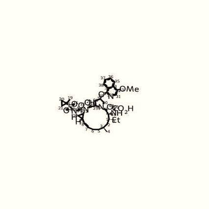 CC[C@@H]1C[C@@H](C)CC/C=C\[C@@H]2C[C@@]2(C(=O)NS(=O)(=O)C2(C)CC2)NC(=O)[C@@H]2C[C@@H](Oc3ncc(OC)c4ccccc34)CN2C(=O)[C@H]1NC(=O)O